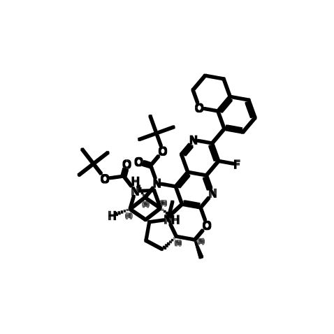 C[C@H](Oc1nc2c(F)c(-c3cccc4c3OCCC4)ncc2c(N(C(=O)OC(C)(C)C)[C@H]2[C@@H]3C[C@H]2N(C(=O)OC(C)(C)C)C3)c1I)[C@@H]1CCCN1C